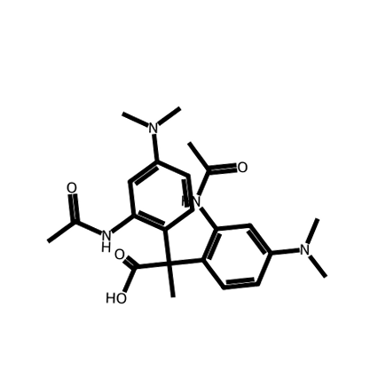 CC(=O)Nc1cc(N(C)C)ccc1C(C)(C(=O)O)c1ccc(N(C)C)cc1NC(C)=O